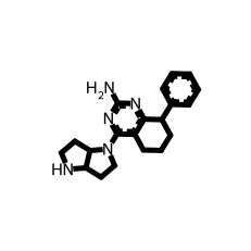 Nc1nc2c(c(N3CCC4NCCC43)n1)CCCC2c1ccccc1